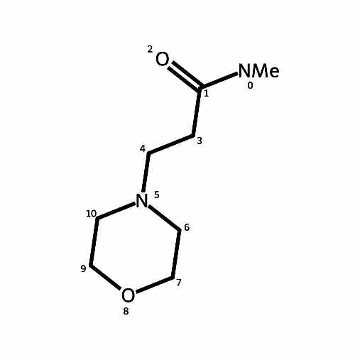 CNC(=O)CCN1CCOCC1